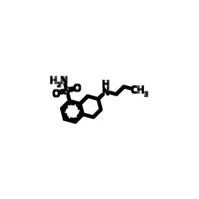 CCCNC1CCc2cccc(S(N)(=O)=O)c2C1